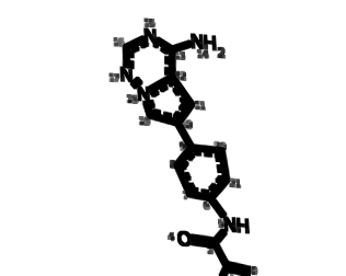 C=C(C)C(=O)Nc1ccc(-c2cc3c(N)ncnn3c2)cc1